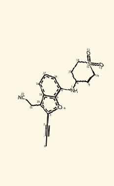 CC#Cc1oc2c(NC3CCS(=O)(=O)CC3)cccc2c1CC#N